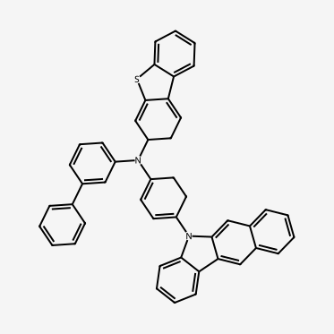 C1=C(N(c2cccc(-c3ccccc3)c2)C2C=c3sc4ccccc4c3=CC2)CCC(n2c3ccccc3c3cc4ccccc4cc32)=C1